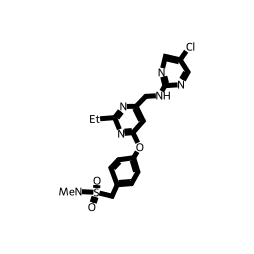 CCc1nc(CNc2ncc(Cl)cn2)cc(Oc2ccc(CS(=O)(=O)NC)cc2)n1